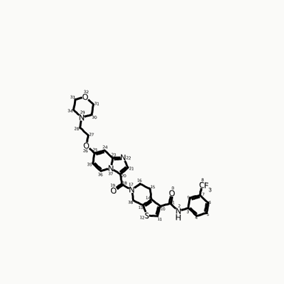 O=C(Nc1cccc(C(F)(F)F)c1)c1csc2c1CCN(C(=O)c1cnc3cc(OCCN4CCOCC4)ccn13)C2